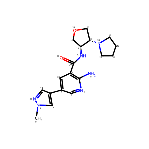 Cn1cc(-c2cnc(N)c(C(=O)N[C@H]3COC[C@@H]3N3CCCC3)c2)cn1